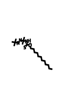 CCCCCCCCCCCCOC(=S)NC(C)(C)N=NC(C)(C)C